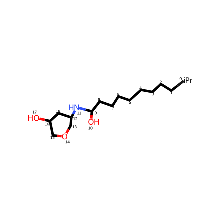 CC(C)CCCCCCCCC(O)NC1COCC(O)C1